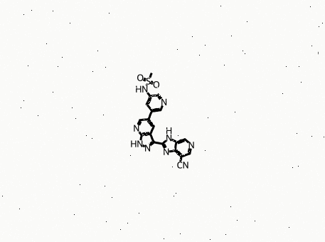 CS(=O)(=O)Nc1cncc(-c2cnc3[nH]nc(-c4nc5c(C#N)cncc5[nH]4)c3c2)c1